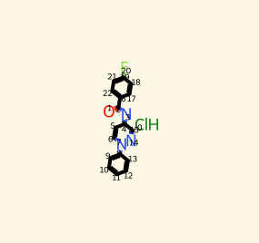 Cl.O=C(/N=c1\ccn(-c2ccccc2)nc1)c1ccc(F)cc1